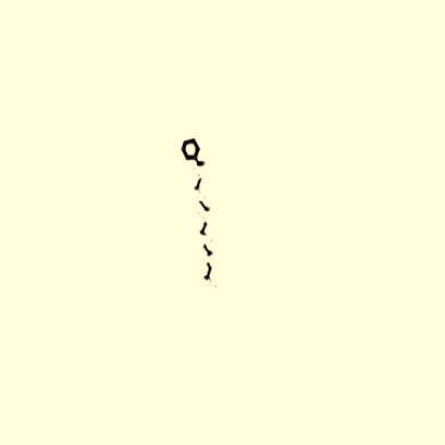 NC(=O)CNC(=O)CNC(=O)CNC(=O)CNC(=O)CNC(=O)c1ccccc1